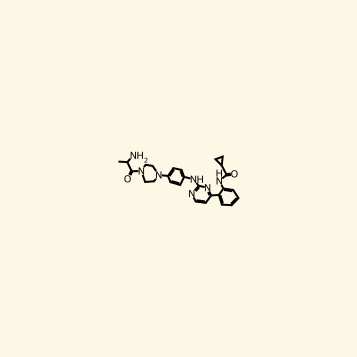 CC(N)C(=O)N1CCN(c2ccc(Nc3nccc(-c4ccccc4NC(=O)C4CC4)n3)cc2)CC1